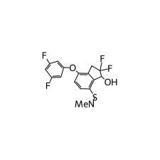 CNSc1ccc(Oc2cc(F)cc(F)c2)c2c1C(O)C(F)(F)C2